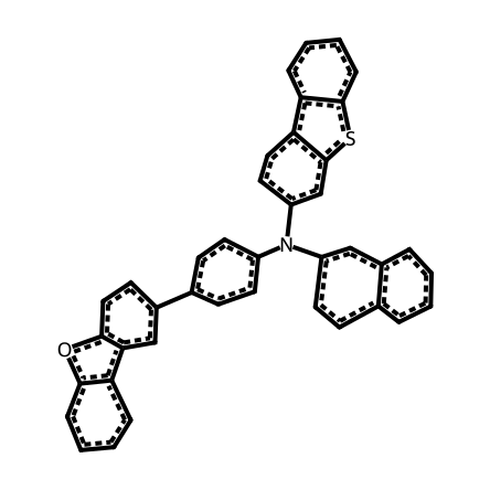 c1ccc2cc(N(c3ccc(-c4ccc5oc6ccccc6c5c4)cc3)c3ccc4c(c3)sc3ccccc34)ccc2c1